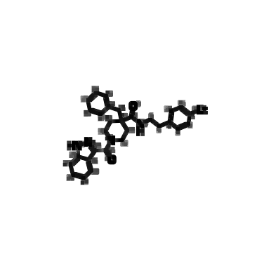 CCc1ccc(CCNC(=O)C2(Cc3ccccc3)CCN(C(=O)c3n[nH]c4ccccc34)CC2)cc1